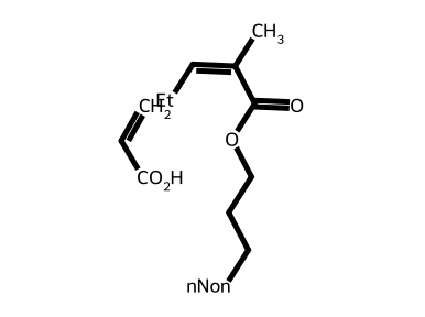 C=CC(=O)O.CCC=C(C)C(=O)OCCCCCCCCCCCC